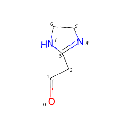 O=CCC1=NCCN1